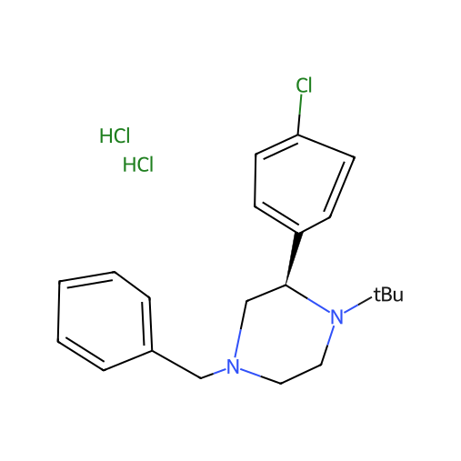 CC(C)(C)N1CCN(Cc2ccccc2)C[C@H]1c1ccc(Cl)cc1.Cl.Cl